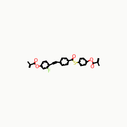 C=C(C)C(=O)Oc1ccc(SC(=O)c2ccc(C#Cc3ccc(OC(=O)C(=C)C)cc3F)cc2)cc1